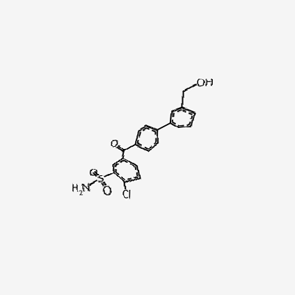 NS(=O)(=O)c1cc(C(=O)c2ccc(-c3cccc(CO)c3)cc2)ccc1Cl